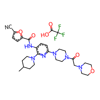 CC1CCN(c2nc(N3CCN(C(=O)CN4CCOCC4)CC3)ccc2NC(=O)c2ccc(C#N)o2)CC1.O=C(O)C(F)(F)F